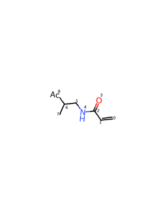 C=CC(=O)NCC(C)C(C)=O